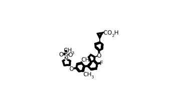 Cc1cc(O[C@@H]2CCN(S(C)(=O)=O)C2)cc(C)c1-c1ccc(F)c2c1CC[C@H]2Oc1ccc([C@H]2C[C@@H]2C(=O)O)cc1